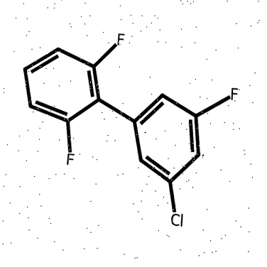 Fc1[c]c(Cl)cc(-c2c(F)cccc2F)c1